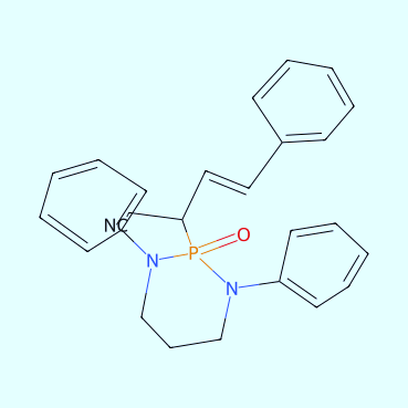 N#CCC(/C=C/c1ccccc1)P1(=O)N(c2ccccc2)CCCN1c1ccccc1